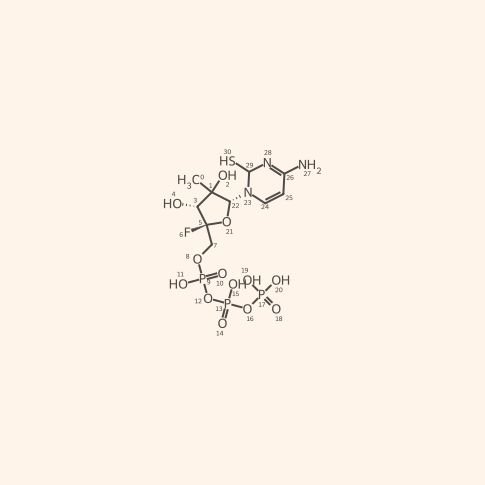 CC1(O)[C@@H](O)[C@@](F)(COP(=O)(O)OP(=O)(O)OP(=O)(O)O)O[C@H]1N1C=CC(N)=NC1S